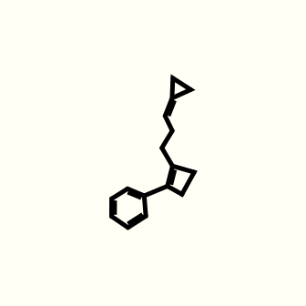 C(CCC1=C(c2ccccc2)CC1)=C1CC1